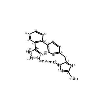 CCCCCn1nc(C(C)CC)nc1Cc1ccc(-c2ccncc2-c2nnn[nH]2)cc1